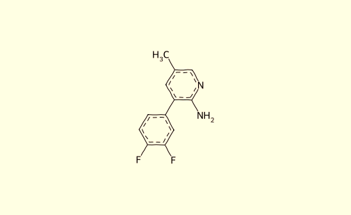 Cc1cnc(N)c(-c2ccc(F)c(F)c2)c1